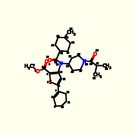 COC(=O)c1sc(C2=CCCCC2)cc1N(C(=O)C1CCC(C)CC1)C1CCN(C(=O)C(C)C)CC1